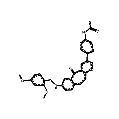 COc1ccc(CNc2ccc3ccc4ncc(-c5ccc(NC(C)=O)cc5)cc4c(=O)c3c2)c(OC)c1